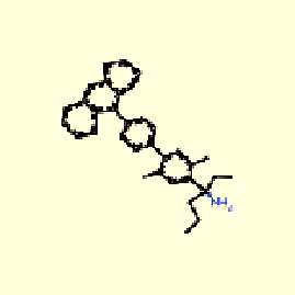 CCCC(N)(CC)c1cc(C)c(-c2ccc(-c3c4ccccc4cc4ccccc34)cc2)cc1C